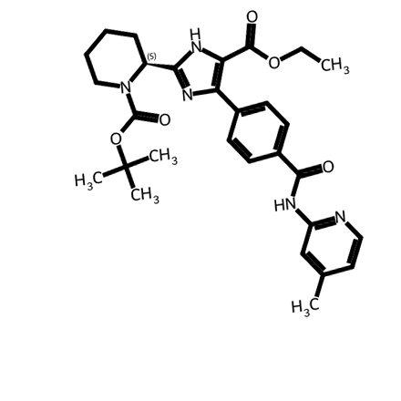 CCOC(=O)c1[nH]c([C@@H]2CCCCN2C(=O)OC(C)(C)C)nc1-c1ccc(C(=O)Nc2cc(C)ccn2)cc1